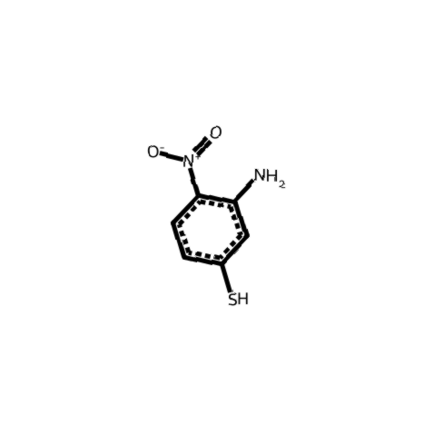 Nc1cc(S)ccc1[N+](=O)[O-]